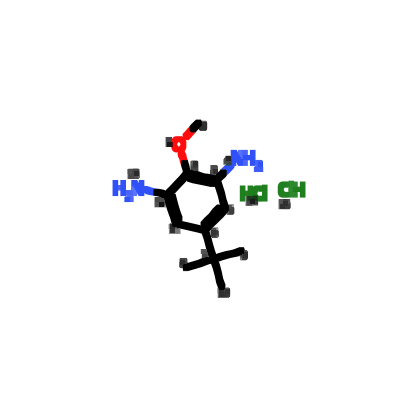 COc1c(N)cc(C(C)(C)C)cc1N.Cl.Cl